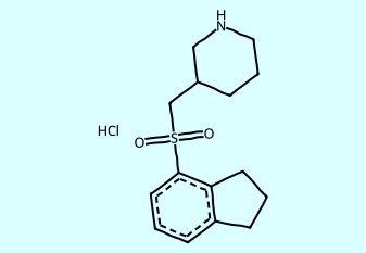 Cl.O=S(=O)(CC1CCCNC1)c1cccc2c1CCC2